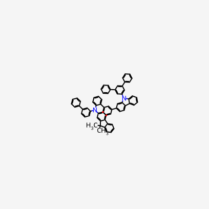 CC1(C)c2ccccc2-c2ccc(N(c3cccc(-c4ccccc4)c3)c3ccccc3-c3cccc(-c4ccc5c6ccccc6n(-c6cc(-c7ccccc7)cc(-c7ccccc7)c6)c5c4)c3)cc21